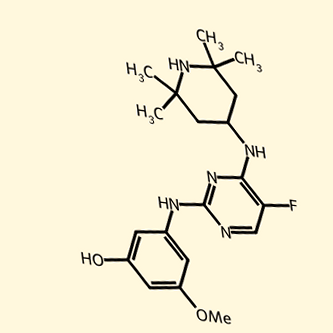 COc1cc(O)cc(Nc2ncc(F)c(NC3CC(C)(C)NC(C)(C)C3)n2)c1